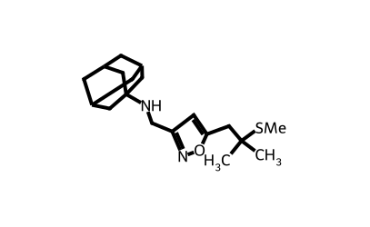 CSC(C)(C)Cc1cc(CNC23CC4CC(CC(C4)C2)C3)no1